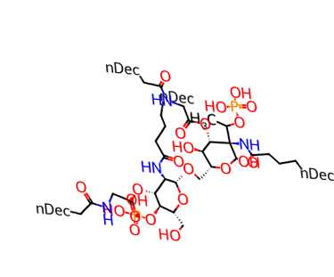 CCCCCCCCCCCCCC(=O)N[C@H]1[C@H](OC[C@H]2O[C@H](O)[C@@](NC(=O)CCCCCCCCCCCCC)(C(C)OP(=O)(O)O)[C@@H](OC(=O)CNC(=O)CCCCCCCCCCC)[C@@H]2O)O[C@H](CO)[C@@H](OP(=O)(O)O)[C@@H]1OC(=O)CNC(=O)CCCCCCCCCCC